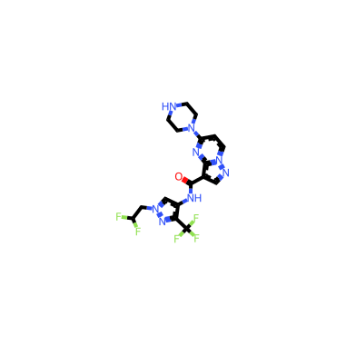 O=C(Nc1cn(CC(F)F)nc1C(F)(F)F)c1cnn2ccc(N3CCNCC3)nc12